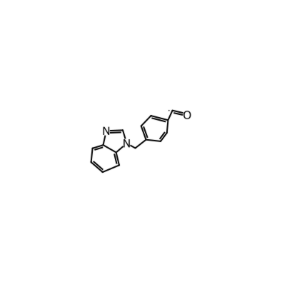 O=[C]c1ccc(Cn2cnc3ccccc32)cc1